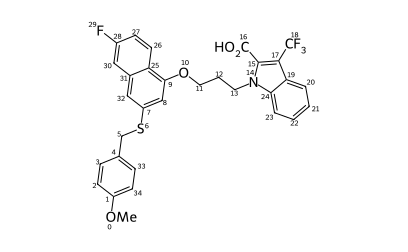 COc1ccc(CSc2cc(OCCCn3c(C(=O)O)c(C(F)(F)F)c4ccccc43)c3ccc(F)cc3c2)cc1